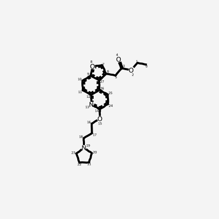 CCOC(=O)Cc1coc2ccc3nc(OCCCN4CCCC4)ccc3c12